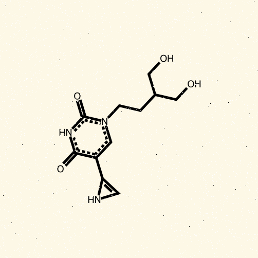 O=c1[nH]c(=O)n(CCC(CO)CO)cc1C1=CN1